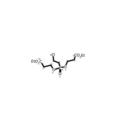 CCOC(=O)CCOP(=O)(CCCl)OCCC(=O)OCC